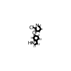 Clc1ncccc1Oc1ccc2[c]c[nH]c2c1